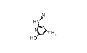 Cc1cc(O)nc(NC#N)n1